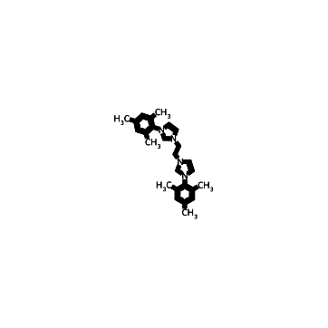 Cc1cc(C)c(N2C=CN(CCN3C=CN(c4c(C)cc(C)cc4C)C3)C2)c(C)c1